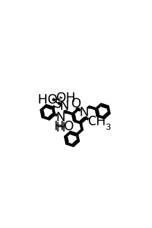 Cc1c(Cc2ccccc2)c(O)c(C2=NS(O)(O)c3ccccc3N2)c(=O)n1Cc1ccccc1